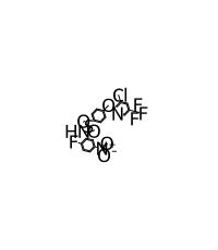 O=[N+]([O-])c1ccc(F)c(NS(=O)(=O)c2ccc(Oc3ncc(C(F)(F)F)cc3Cl)cc2)c1